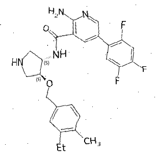 CCc1cc(CO[C@H]2CNC[C@@H]2NC(=O)c2cc(-c3cc(F)c(F)cc3F)cnc2N)ccc1C